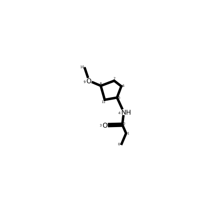 CCC(=O)NC1CCC(OC)C1